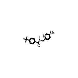 COc1ccc(CNC(=O)c2ccc(C(C)(C)C)cc2)nc1